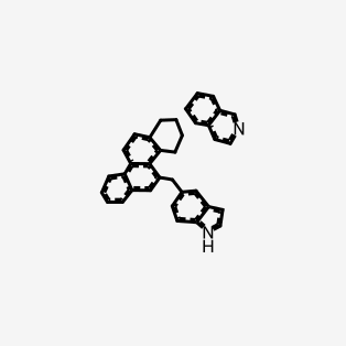 c1ccc2c(c1)cc(Cc1ccc3[nH]ccc3c1)c1c3c(ccc12)CCCC3.c1ccc2cnccc2c1